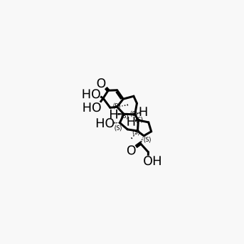 C[C@]12C[C@H](O)[C@H]3[C@@H](CCC4=CC(=O)C(O)(O)C[C@@]43C)[C@@H]1CC[C@@H]2C(=O)CO